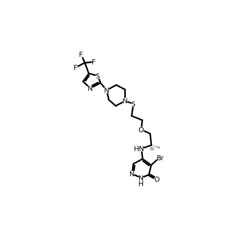 C[C@@H](COCCSN1CCN(c2ncc(C(F)(F)F)s2)CC1)Nc1cn[nH]c(=O)c1Br